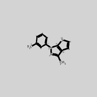 Cc1nn(-c2cccc(C(F)(F)F)c2)c2s[c]cc12